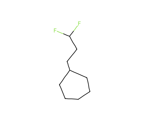 FC(F)CCC1CCCCC1